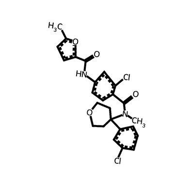 Cc1ccc(C(=O)Nc2ccc(C(=O)N(C)C3(c4cccc(Cl)c4)CCOCC3)c(Cl)c2)o1